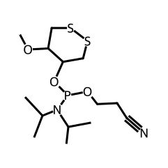 COC1CSSCC1OP(OCCC#N)N(C(C)C)C(C)C